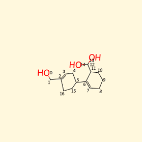 OCC1=CCC(C2=CCCCC2C(O)O)CC1